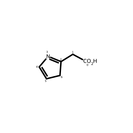 O=C(O)CC1=NC=CC1